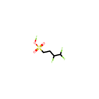 O=S(=O)(CCC(F)C(F)F)OF